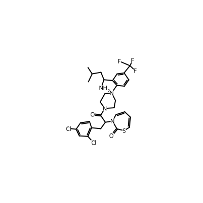 CC(C)CC(N)c1cc(C(F)(F)F)ccc1N1CCN(C(=O)C(Cc2ccc(Cl)cc2Cl)N2C=CC=CSC2=O)CC1